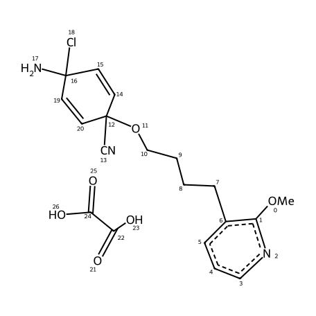 COc1ncccc1CCCCOC1(C#N)C=CC(N)(Cl)C=C1.O=C(O)C(=O)O